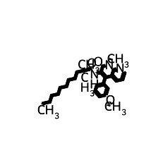 CCCCCCCCCCC(C)(C)C(=O)Nc1c(-c2cccc(OC)c2)c2cccnc2n(C)c1=O